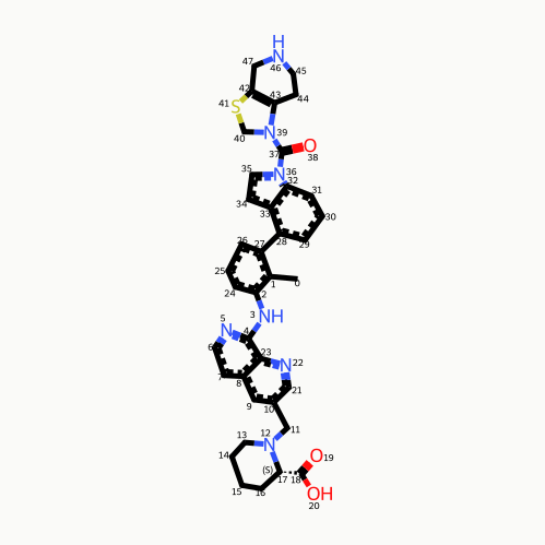 Cc1c(Nc2nccc3cc(CN4CCCC[C@H]4C(=O)O)cnc23)cccc1-c1cccc2c1ccn2C(=O)N1CSC2=C1CCNC2